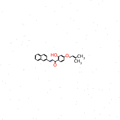 CC(C)=CCOc1ccc(C(=O)/C=C/c2ccc3ccccc3c2)c(O)c1